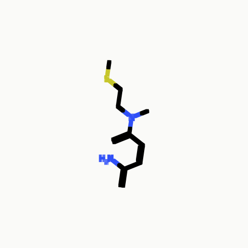 C=C(N)/C=C\C(=C)N(C)CCSC